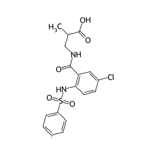 CC(CNC(=O)c1cc(Cl)ccc1NS(=O)(=O)c1cc[c]cc1)C(=O)O